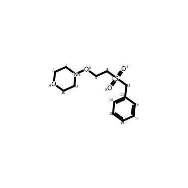 O=S(=O)(CCON1CCOCC1)Cc1ccccc1